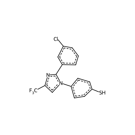 FC(F)(F)c1cn(-c2ccc(S)cc2)c(-c2cccc(Cl)c2)n1